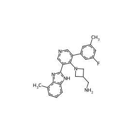 Cc1cc(F)cc(-c2cncc(-c3nc4c(C)cccc4[nH]3)c2N2CC(CN)C2)c1